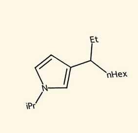 CCCCCCC(CC)c1ccn(C(C)C)c1